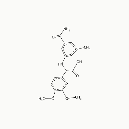 COc1ccc(C(Nc2cc(C)cc(C(N)=O)c2)C(=O)O)cc1OC